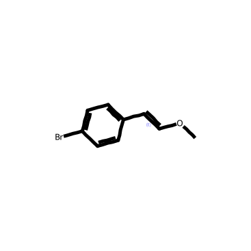 CO/C=C/c1ccc(Br)cc1